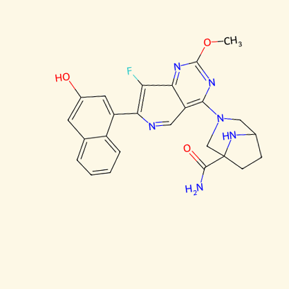 COc1nc(N2CC3CCC(C(N)=O)(C2)N3)c2cnc(-c3cc(O)cc4ccccc34)c(F)c2n1